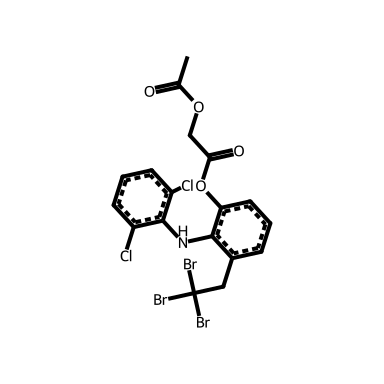 CC(=O)OCC(=O)Oc1cccc(CC(Br)(Br)Br)c1Nc1c(Cl)cccc1Cl